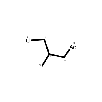 CC(=O)CC(C)CCl